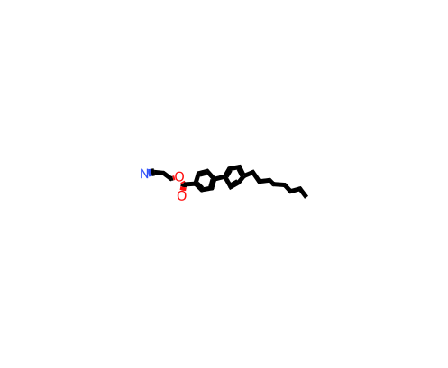 CCCCCCCCc1ccc(-c2ccc(C(=O)OCCC#N)cc2)cc1